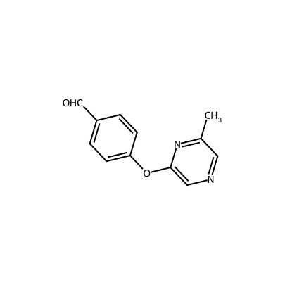 Cc1cncc(Oc2ccc(C=O)cc2)n1